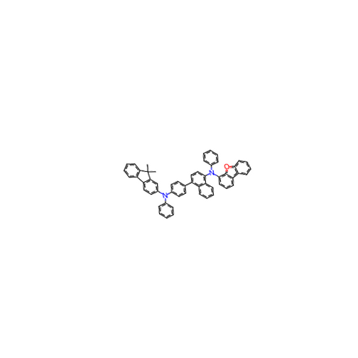 CC1(C)c2ccccc2-c2ccc(N(c3ccccc3)c3ccc(-c4ccc(N(c5ccccc5)c5cccc6c5oc5ccccc56)c5ccccc45)cc3)cc21